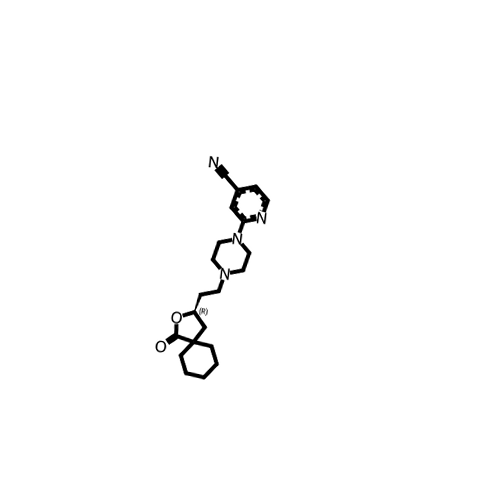 N#Cc1ccnc(N2CCN(CC[C@H]3CC4(CCCCC4)C(=O)O3)CC2)c1